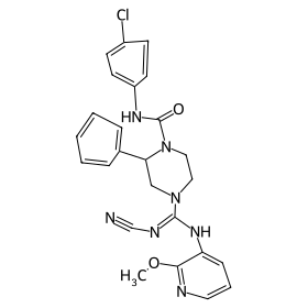 COc1ncccc1N/C(=N/C#N)N1CCN(C(=O)Nc2ccc(Cl)cc2)C(c2ccccc2)C1